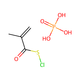 C=C(C)C(=O)SCl.O=P(O)(O)O